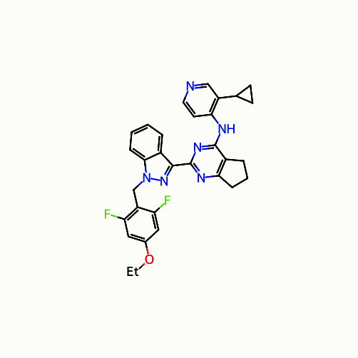 CCOc1cc(F)c(Cn2nc(-c3nc4c(c(Nc5ccncc5C5CC5)n3)CCC4)c3ccccc32)c(F)c1